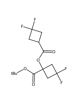 CC(C)(C)OC(=O)C1(OC(=O)C2CC(F)(F)C2)CC(F)(F)C1